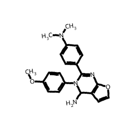 COc1ccc(N2C(c3ccc(N(C)C)cc3)=Nc3occc3C2N)cc1